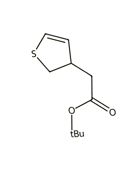 CC(C)(C)OC(=O)CC1C=CSC1